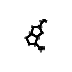 CC(C)N1CC2CCC(O)C2C1